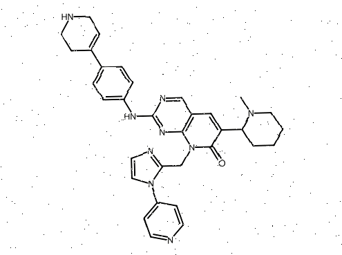 CN1CCCCC1c1cc2cnc(Nc3ccc(C4=CCNCC4)cc3)nc2n(Cc2nccn2-c2ccncc2)c1=O